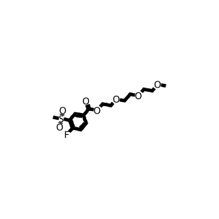 COCCOCCOCCOC(=O)c1ccc(F)c(S(C)(=O)=O)c1